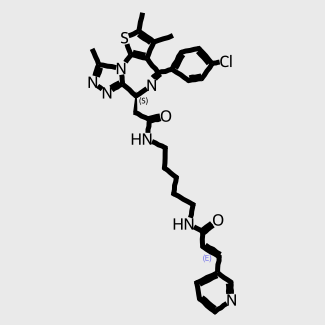 Cc1sc2c(c1C)C(c1ccc(Cl)cc1)=N[C@@H](CC(=O)NCCCCCNC(=O)/C=C/c1cccnc1)c1nnc(C)n1-2